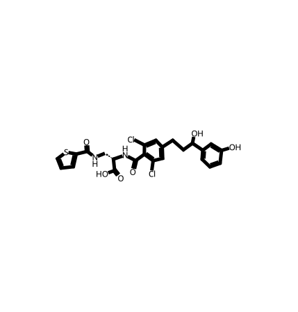 O=C(NC[C@H](NC(=O)c1c(Cl)cc(CCC(O)c2cccc(O)c2)cc1Cl)C(=O)O)c1cccs1